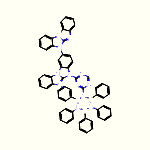 c1ccc(B2N(c3ccccc3)B(c3ccccc3)N(c3ncnc(-n4c5ccc(-n6c7ccccc7n7c8ccccc8nc67)cc5n5c6ccccc6nc45)n3)B(c3ccccc3)N2c2ccccc2)cc1